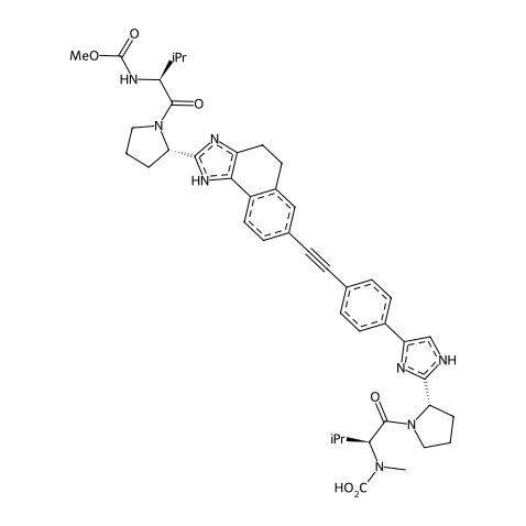 COC(=O)N[C@H](C(=O)N1CCC[C@H]1c1nc2c([nH]1)-c1ccc(C#Cc3ccc(-c4c[nH]c([C@@H]5CCCN5C(=O)[C@H](C(C)C)N(C)C(=O)O)n4)cc3)cc1CC2)C(C)C